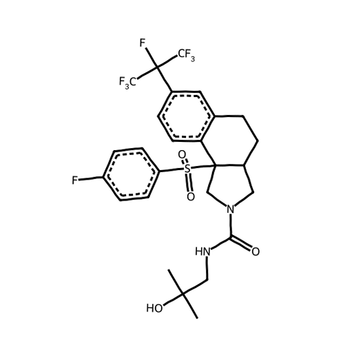 CC(C)(O)CNC(=O)N1CC2CCc3cc(C(F)(C(F)(F)F)C(F)(F)F)ccc3C2(S(=O)(=O)c2ccc(F)cc2)C1